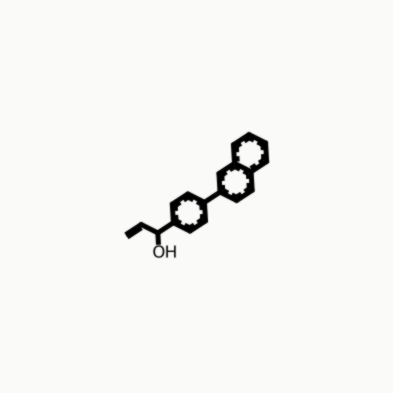 C=CC(O)c1ccc(-c2ccc3ccccc3c2)cc1